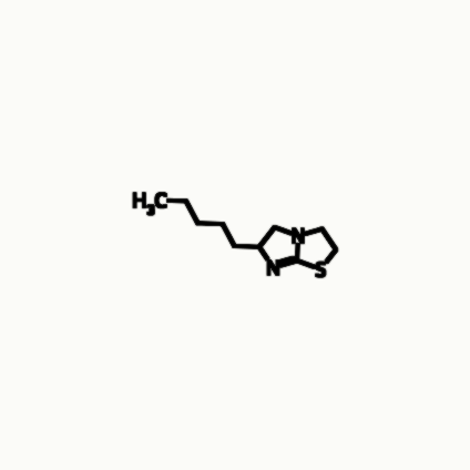 CCCCCC1CN2CCSC2=N1